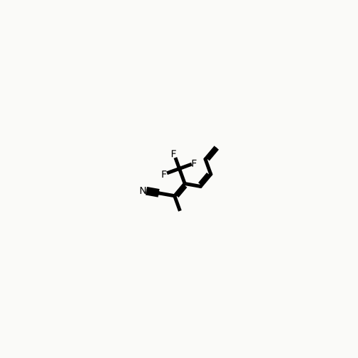 C=C/C=C\C(=C(/C)C#N)C(F)(F)F